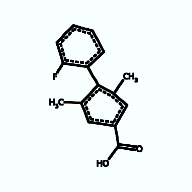 Cc1cc(C(=O)O)cc(C)c1-c1ccccc1F